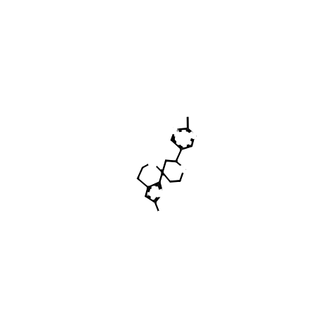 Cc1ncc(C2CC3(CCN2)OCCc2cc(Cl)sc23)cn1